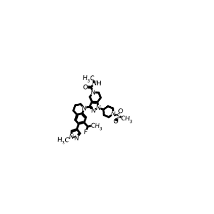 CNC(=O)N1CCc2c(c(N3CCCc4cc(-c5cnn(C)c5)c(C(C)F)cc43)nn2C2CCN(S(C)(=O)=O)CC2)C1